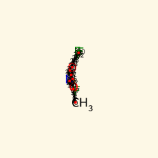 CCCCCCC(F)COc1ccc2nc(-c3ccc(COCCCCCCCC(F)(F)F)cc3)sc2c1